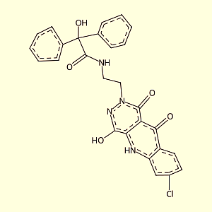 O=C(NCCn1nc(O)c2[nH]c3cc(Cl)ccc3c(=O)c2c1=O)C(O)(c1ccccc1)c1ccccc1